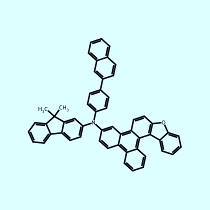 CC1(C)c2ccccc2-c2ccc(N(c3ccc(-c4ccc5ccccc5c4)cc3)c3ccc4c5ccccc5c5c(ccc6oc7ccccc7c65)c4c3)cc21